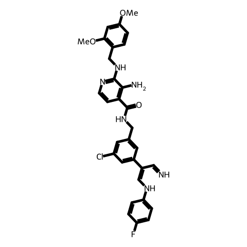 COc1ccc(CNc2nccc(C(=O)NCc3cc(Cl)cc(/C(C=N)=C/Nc4ccc(F)cc4)c3)c2N)c(OC)c1